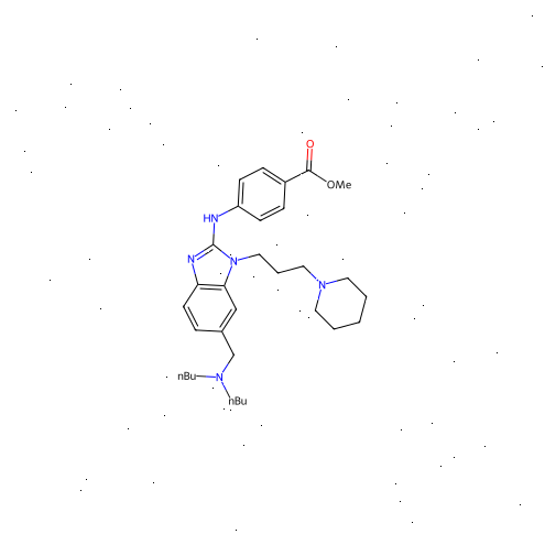 CCCCN(CCCC)Cc1ccc2nc(Nc3ccc(C(=O)OC)cc3)n(CCCN3CCCCC3)c2c1